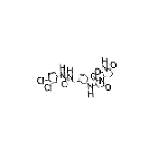 O=C1CCC(N2C(=O)C=C(Nc3cccc(CNC(=O)Nc4ccc(Cl)c(Cl)c4)c3)C2=O)C(=O)N1